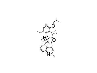 CCc1cnc(OCC(C)C)c(C2(C(=O)NS(=O)(=O)c3cccc4nc(C)ccc34)CC2)c1